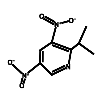 CC(C)c1ncc([N+](=O)[O-])cc1[N+](=O)[O-]